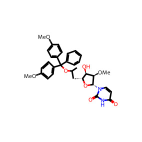 COc1ccc(C(OC(C)C[C@H]2O[C@@H](n3ccc(=O)[nH]c3=O)[C@H](OC)[C@@H]2O)(c2ccccc2)c2ccc(OC)cc2)cc1